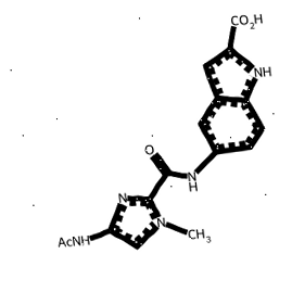 CC(=O)Nc1cn(C)c(C(=O)Nc2ccc3[nH]c(C(=O)O)cc3c2)n1